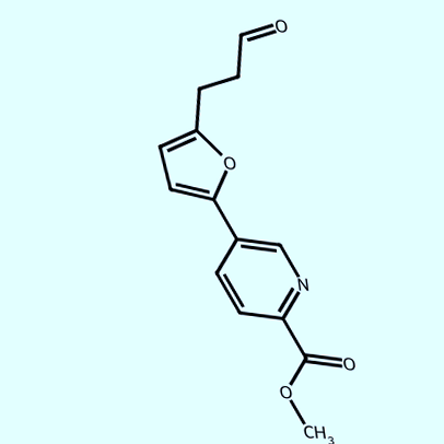 COC(=O)c1ccc(-c2ccc(CCC=O)o2)cn1